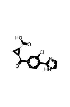 O=C(O)[C@H]1C[C@@H]1C(=O)c1ccc(-c2ncc[nH]2)c(Cl)c1